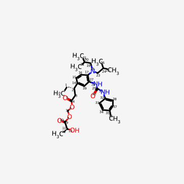 CC[C@@H](CC(=O)OCOC(=O)[C@H](C)O)c1ccc(N(CC(C)C)CC(C)C)c(NC(=O)Nc2ccc(C)cc2)c1